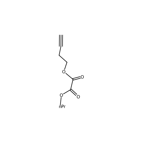 C#CCCOC(=O)C(=O)OCCC